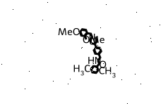 COc1ccc(CN2CCC(c3ccc(CNC(=O)c4cc(C)ccc4C)cc3)CC2)c(OC)c1